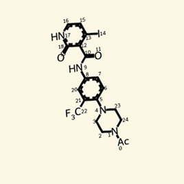 CC(=O)N1CCN(c2ccc(NC(=O)c3c(I)cc[nH]c3=O)cc2C(F)(F)F)CC1